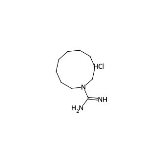 Cl.N=C(N)N1CCCCCCCCC1